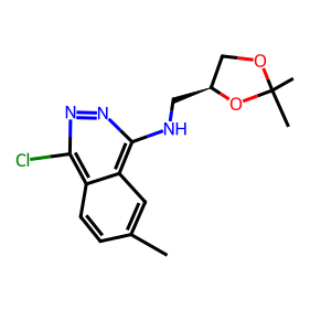 Cc1ccc2c(Cl)nnc(NC[C@H]3COC(C)(C)O3)c2c1